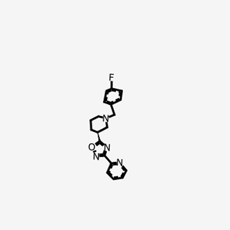 Fc1ccc(CN2CCC[C@H](c3nc(-c4ccccn4)no3)C2)cc1